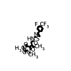 Cc1oc2c(c1CC(=O)Nc1nc(-c3ccc(C(F)(F)F)c(F)c3)cs1)c(=O)n(C)c(=O)n2C